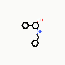 OC1CC(NCCc2ccccc2)CC(c2ccccc2)C1